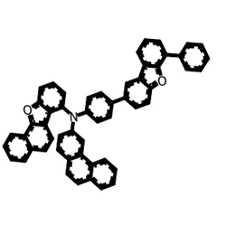 c1ccc(-c2cccc3c2oc2ccc(-c4ccc(N(c5ccc6ccc7ccccc7c6c5)c5cccc6oc7c8ccccc8ccc7c56)cc4)cc23)cc1